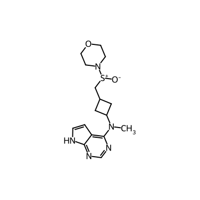 CN(c1ncnc2[nH]ccc12)C1CC(C[S+]([O-])N2CCOCC2)C1